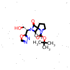 CC1N([C@@H](CO)c2nnco2)C(=O)C12CCCN2C(=O)OC(C)(C)C